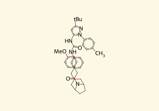 COc1ccc(CC(=O)N2C3CCC2CC(Cc2cccc(NC(=O)Nc4cc(C(C)(C)C)nn4-c4ccc(C)cc4)c2)C3)cc1